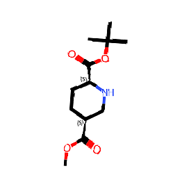 COC(=O)[C@H]1CC[C@@H](C(=O)OC(C)(C)C)NC1